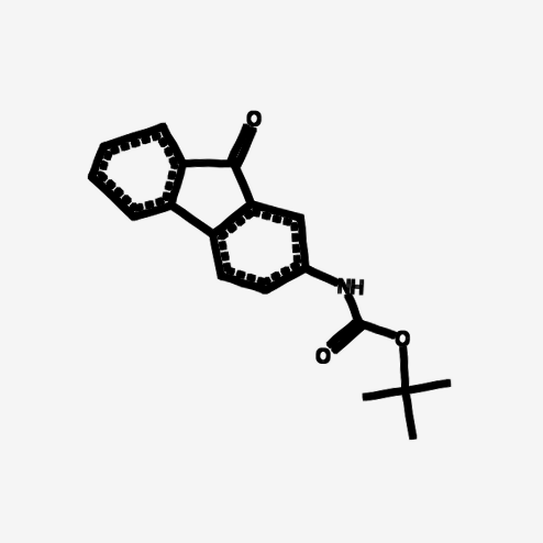 CC(C)(C)OC(=O)Nc1ccc2c(c1)C(=O)c1ccccc1-2